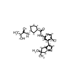 C[C@H](O)C(=O)N[C@@H]1CCC[C@@H](C(=O)Nc2cc(-c3cnn4c3CC(C)(C)C4)c(Cl)cn2)C1